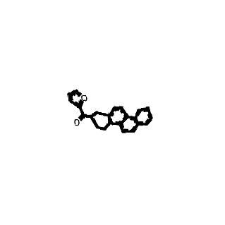 O=C(c1ccco1)C1CCc2c(ccc3c2ccc2ccccc23)C1